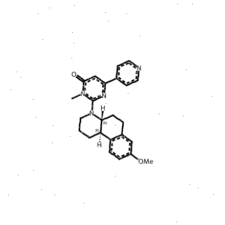 COc1ccc2c(c1)CC[C@@H]1[C@@H]2CCCN1c1nc(-c2ccncc2)cc(=O)n1C